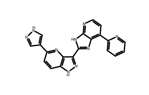 c1ccc(-c2ccnc3[nH]c(-c4n[nH]c5ccc(-c6cn[nH]c6)nc45)nc23)nc1